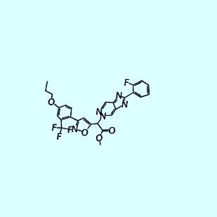 CCCOc1ccc(-c2cc(C(C(=O)OC)n3cc4nc(-c5ccccc5F)nc-4cn3)on2)c(C(F)(F)F)c1